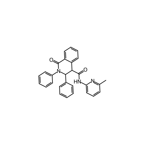 Cc1cccc(NC(=O)C2c3ccccc3C(=O)N(c3ccccc3)C2c2ccccc2)n1